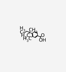 CCCC(C)(C)c1ccc(C(=O)O)cc1C